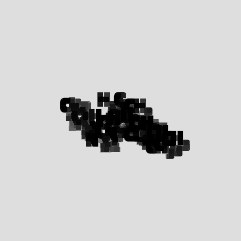 C=C(C)[C@@H]1CC[C@]2(C(=O)N3CCCC3c3ncc(-c4ccc(Cl)cc4)[nH]3)CC[C@]3(C)[C@H](CC[C@@H]4[C@@]5(C)CC[C@H](C)C(C)(C)[C@@H]5CC[C@]43C)[C@@H]12